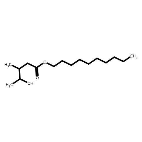 CCCCCCCCCCOC(=O)CC(C)C(C)O